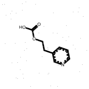 O=C(O)OCCc1cccnc1